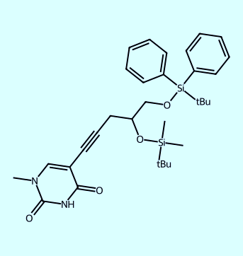 Cn1cc(C#CCC(CO[Si](c2ccccc2)(c2ccccc2)C(C)(C)C)O[Si](C)(C)C(C)(C)C)c(=O)[nH]c1=O